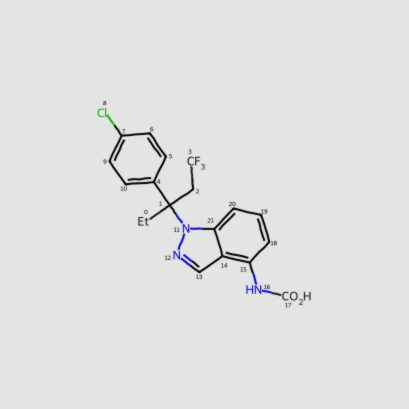 CCC(CC(F)(F)F)(c1ccc(Cl)cc1)n1ncc2c(NC(=O)O)cccc21